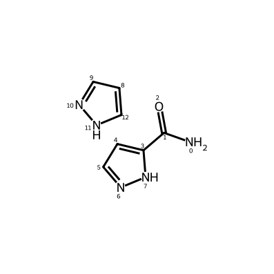 NC(=O)c1ccn[nH]1.c1cn[nH]c1